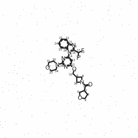 O=C(C1CCOC1)N1CC(COc2cc(-n3c(C(F)F)nc4ccccc43)nc(N3CCOCC3)n2)C1